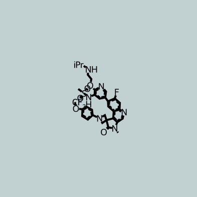 CC(C)NCCOc1ncc(-c2cc3c4c(cnc3cc2F)N(C)C(=O)C42CN(c3ccc(OC(F)(F)F)cc3)C2)cc1NS(C)(=O)=O